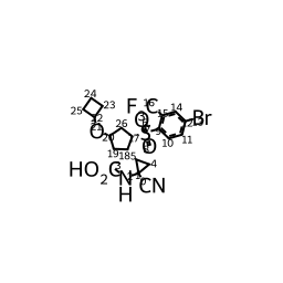 N#CC1(NC(=O)O)CC1.O=S(=O)(c1ccc(Br)cc1C(F)(F)F)[C@@H]1CC[C@@H](OC2CCC2)C1